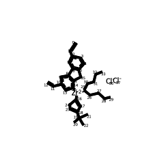 C=Cc1ccc2c(c1)-c1cc(C=C)c[c]([Zr+2]([C]3=CC(C(C)(C)C)=CC3)=[C](CCCC)CCCC)c1C2.[Cl-].[Cl-]